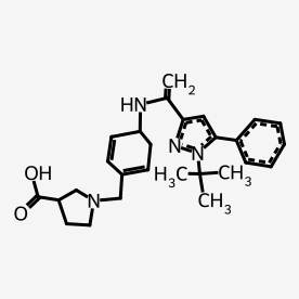 C=C(NC1C=CC(CN2CCC(C(=O)O)C2)=CC1)c1cc(-c2ccccc2)n(C(C)(C)C)n1